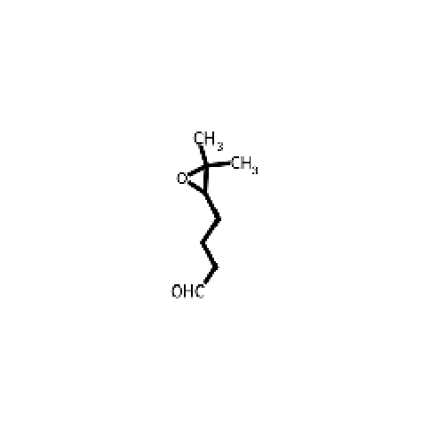 CC1(C)OC1CCCC=O